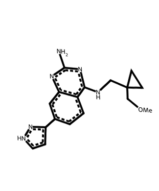 COCC1(CNc2nc(N)nc3cc(-c4cc[nH]n4)ccc23)CC1